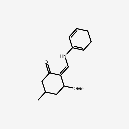 COC1CC(C)CC(=O)/C1=C\NC1=CCCC=C1